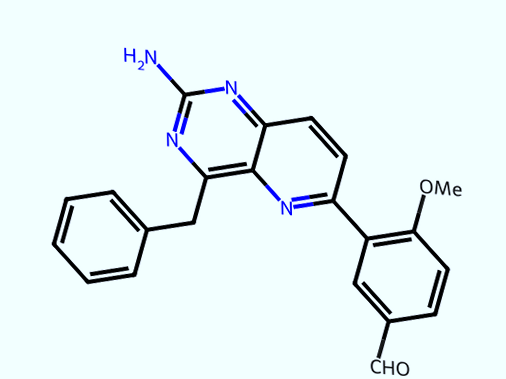 COc1ccc(C=O)cc1-c1ccc2nc(N)nc(Cc3ccccc3)c2n1